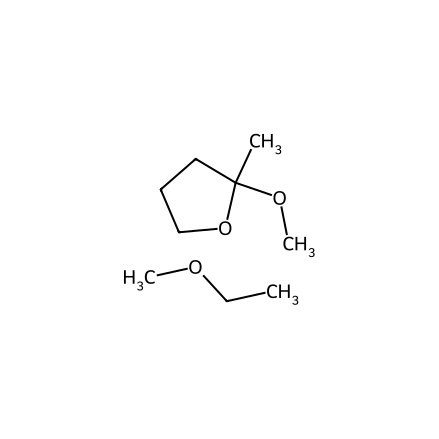 CCOC.COC1(C)CCCO1